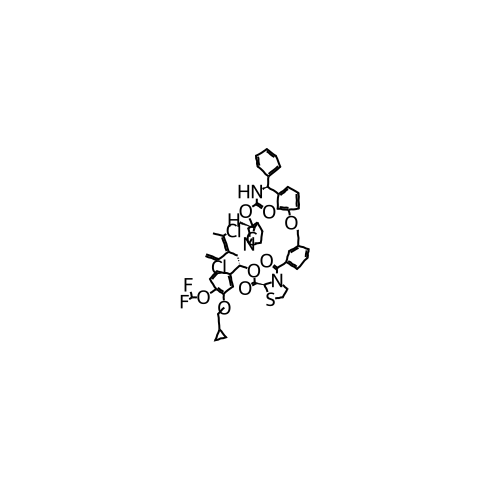 C=C(Cl)/C(C[C@H](OC(=O)[C@@H]1SCCN1C(=O)c1cccc(COc2cccc([C@@H](NC(=O)O[C@H]3CN4CCC3CC4)c3ccccc3)c2)c1)c1ccc(OC(F)F)c(OCC2CC2)c1)=C(\C)Cl